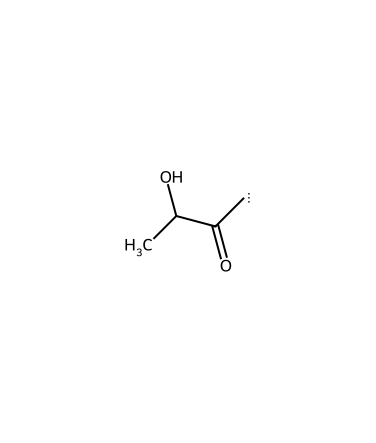 [C]C(=O)C(C)O